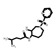 CC(C)CCC(=O)NC1CCCN(S(=O)(=O)c2ccccn2)CC1O